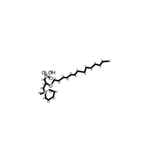 CCCCCCCCCCCCCCOC(C[N+]1(C)CCCCC1)CS(=O)(=O)O